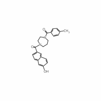 Cc1ccc(C(=O)N2CCCN(C(=O)c3ccc4cc(O)ccc4c3)CC2)cc1